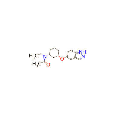 CCN(C(C)=O)[C@@H]1CCC[C@@H](Oc2ccc3[nH]ncc3c2)C1